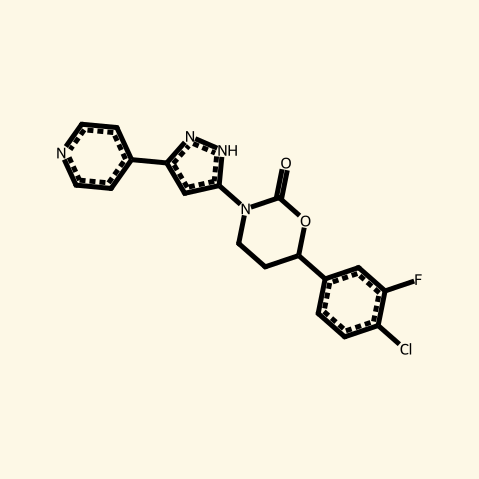 O=C1OC(c2ccc(Cl)c(F)c2)CCN1c1cc(-c2ccncc2)n[nH]1